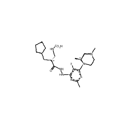 Cc1nc(NNC(=O)[C@@H](CNC(=O)O)CC2CCCC2)c(F)c(N2CCN(C)C[C@@H]2C)n1